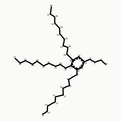 [CH2]CCCc1cc(CCCCCCCCCC)c(CCCCCCCCCC)c(CCCCCCCCCC)c1